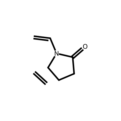 C=C.C=CN1CCCC1=O